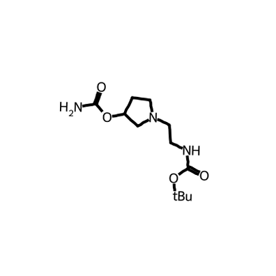 CC(C)(C)OC(=O)NCCN1CCC(OC(N)=O)C1